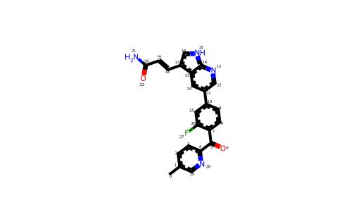 Cc1ccc(C(=O)c2ccc(-c3cnc4[nH]cc(/C=C/C(N)=O)c4c3)cc2F)nc1